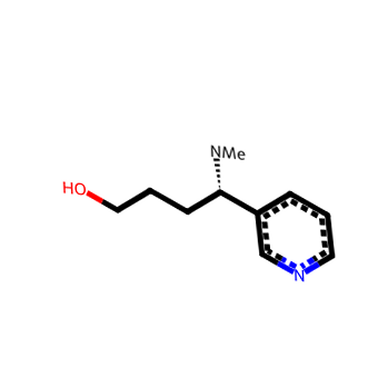 CN[C@@H](CCCO)c1cccnc1